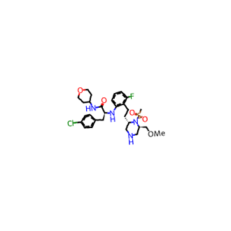 COC[C@H]1CNC[C@H](CCc2c(F)cccc2N[C@@H](Cc2ccc(Cl)cc2)C(=O)NC2CCOCC2)N1S(C)(=O)=O